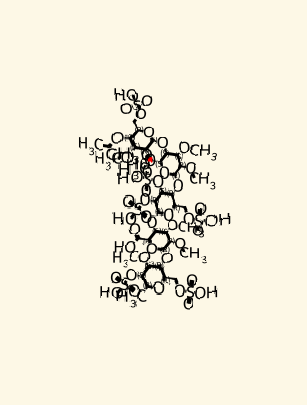 CO[C@@H]1[C@@H](OC)[C@H](O[C@H]2[C@H](OS(=O)(=O)O)[C@@H](OS(=O)(=O)O)[C@@H](O[C@H]3[C@H](OC)[C@@H](OC)[C@H](O[C@H]4[C@H](OC)[C@@H](OS(=O)(=O)O)[C@@H](C)O[C@@H]4COS(=O)(=O)O)O[C@H]3C(=O)O)O[C@@H]2COS(=O)(=O)O)O[C@H](C(=O)O)[C@H]1O[C@H]1O[C@H](COS(=O)(=O)O)[C@@H](OC(C)C)[C@H](OC)[C@H]1OC